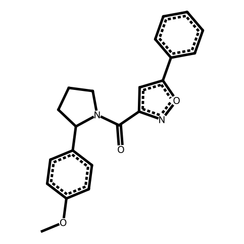 COc1ccc(C2CCCN2C(=O)c2cc(-c3ccccc3)on2)cc1